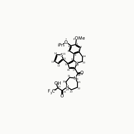 COc1cc2c(cc1OC(C)C)-c1c(-c3cccs3)cc(C(=O)N3CCCN(C(=O)C(O)C(F)(F)F)CC3)n1CC2